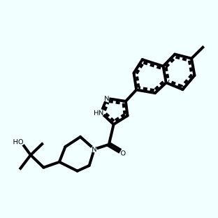 Cc1ccc2cc(-c3cc(C(=O)N4CCC(CC(C)(C)O)CC4)[nH]n3)ccc2c1